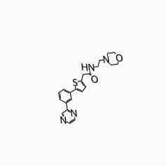 O=C(Cc1ccc(-c2cccc(-c3cnccn3)c2)s1)NCCN1CCOCC1